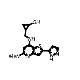 CNc1cc(NCC2CC2O)c2sc(-c3ccn[nH]3)cc2n1